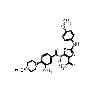 COc1ccc(Nc2nc(C(N)=O)c(NC(=O)c3ccc(N4CCN(C)CC4)c(N)c3)s2)cc1